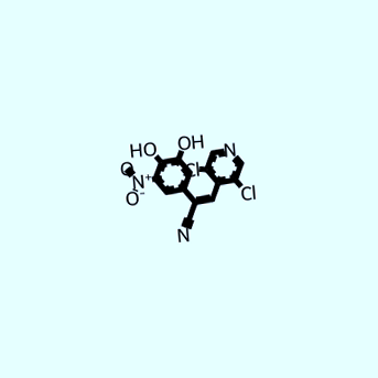 N#C/C(=C/c1c(Cl)cncc1Cl)c1cc(O)c(O)c([N+](=O)[O-])c1